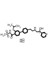 CC(C)Sc1cc(-c2ccc(CCNC[C@@H](O)c3cccnc3)cc2)ccc1C(=O)NS(C)(=O)=O.Cl.Cl